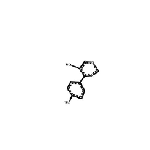 CC(C)(C)c1ccc(-c2ncncc2O)cc1